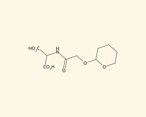 O=C(COC1CCCCO1)NC(C(=O)O)C(=O)O